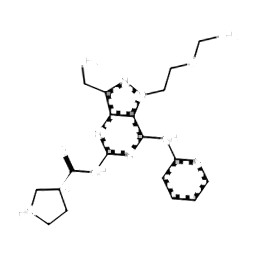 CCOCCn1nc(CC)c2nc(NC(=O)[C@H]3CCNC3)nc(Nc3ccccn3)c21